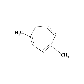 CC1=CN=C(C)C=CC1